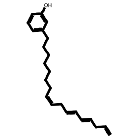 C=CCC=CC=CC/C=C\CCCCCCCc1cccc(O)c1